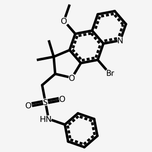 COc1c2c(c(Br)c3ncccc13)OC(CS(=O)(=O)Nc1ccccc1)C2(C)C